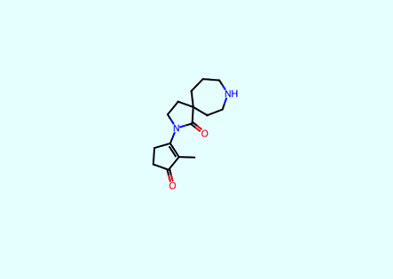 CC1=C(N2CCC3(CCCNCC3)C2=O)CCC1=O